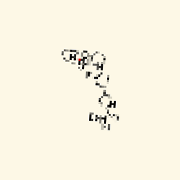 CCN(CC)C(=O)c1ccc(-c2ccc(N3CCCC(OC(=O)N4C5CCC4CC(O)C5)C3)c(F)c2)cn1